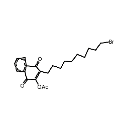 CC(=O)OC1=C(CCCCCCCCCCBr)C(=O)c2ccccc2C1=O